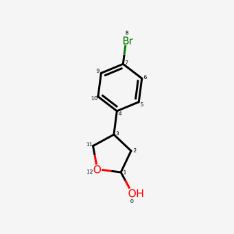 OC1CC(c2ccc(Br)cc2)CO1